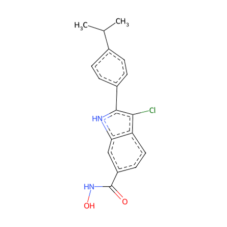 CC(C)c1ccc(-c2[nH]c3cc(C(=O)NO)ccc3c2Cl)cc1